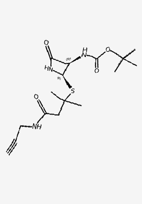 C#CCNC(=O)CC(C)(C)S[C@H]1NC(=O)[C@H]1NC(=O)OC(C)(C)C